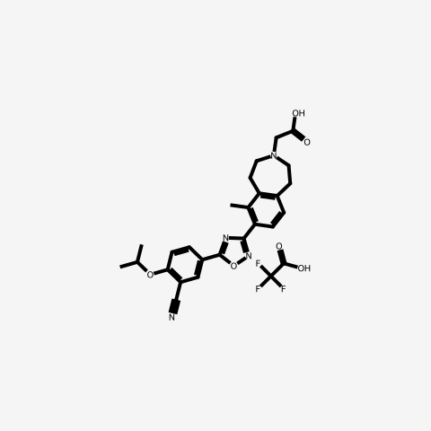 Cc1c(-c2noc(-c3ccc(OC(C)C)c(C#N)c3)n2)ccc2c1CCN(CC(=O)O)CC2.O=C(O)C(F)(F)F